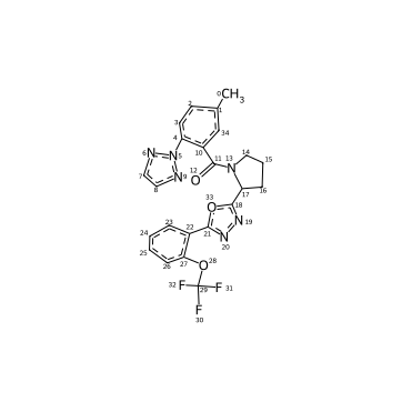 Cc1ccc(-n2nccn2)c(C(=O)N2CCCC2c2nnc(-c3ccccc3OC(F)(F)F)o2)c1